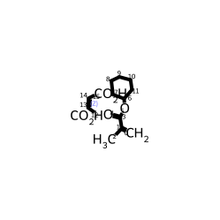 C=C(C)C(=O)OC1CCCCC1.O=C(O)/C=C\C(=O)O